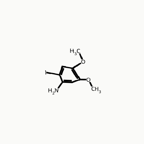 COc1cc(N)c(I)cc1OC